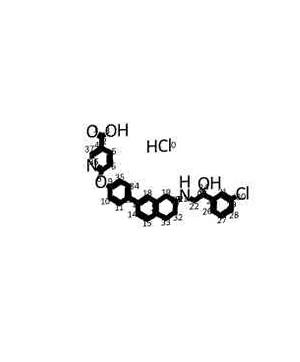 Cl.O=C(O)c1ccc(Oc2ccc(-c3ccc4c(c3)C[C@@H](NC[C@@H](O)c3cccc(Cl)c3)CC4)cc2)nc1